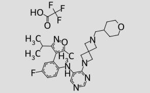 Cc1onc(C(C)C)c1-c1cc(F)ccc1Nc1cncnc1N1CC2(CN(CC3CCOCC3)C2)C1.O=C(O)C(F)(F)F